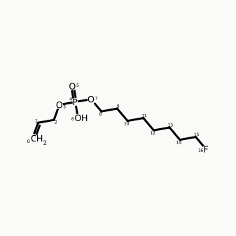 C=CCOP(=O)(O)OCCCCCCCCF